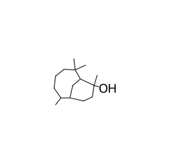 CC1CCCC(C)(C)C2CC1CCC2(C)O